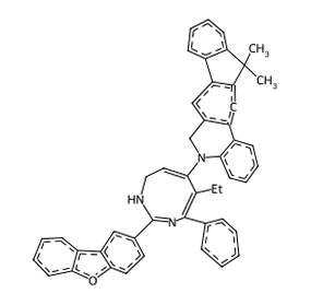 CCC1=C(c2ccccc2)/N=C(/c2ccc3oc4ccccc4c3c2)NC/C=C\1N1Cc2cc3c(cc2-c2ccccc21)C(C)(C)c1ccccc1-3